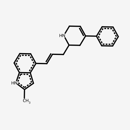 Cc1cc2c(/C=C/CC3CC(c4ccccc4)=CCN3)cccc2[nH]1